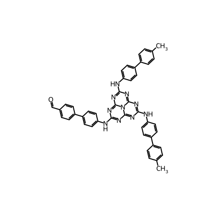 Cc1ccc(-c2ccc(NC3=NC4=NC(Nc5ccc(-c6ccc(C)cc6)cc5)=NC5=NC(Nc6ccc(-c7ccc(C=O)cc7)cc6)=NC(=N3)N45)cc2)cc1